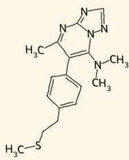 CSCCc1ccc(-c2c(C)nc3ncnn3c2N(C)C)cc1